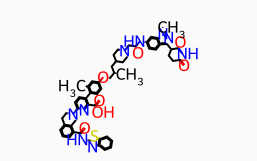 Cc1cc(OC[C@H](C)CC2CCN(CC(=O)Nc3ccc4c(C5CCC(=O)NC5=O)nn(C)c4c3)CC2)ccc1-c1ccc(N2CCc3cccc(C(=O)Nc4nc5ccccc5s4)c3C2)nc1C(=O)O